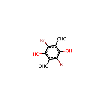 O=Cc1c(O)c(Br)c(C=O)c(O)c1Br